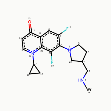 CC(C)NCC1CCN(c2c(F)cc3c(=O)ccn(C4CC4)c3c2F)C1